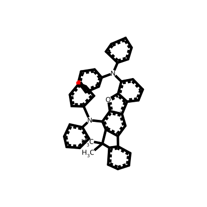 CC1(C)c2ccccc2-c2cc3c(oc4c(N(c5ccccc5)c5ccccc5)cccc43)c(N(c3ccccc3)c3ccccc3)c21